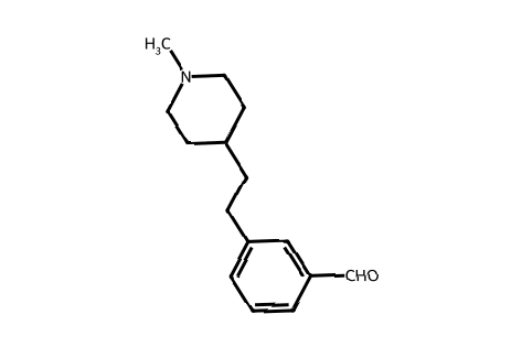 CN1CCC(CCc2cccc(C=O)c2)CC1